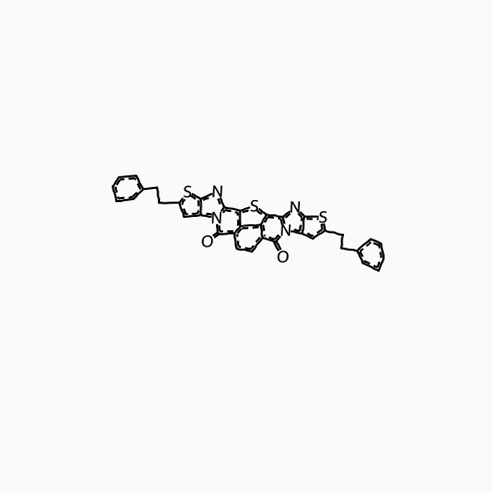 O=c1c2ccc3c(=O)n4c5cc(CCc6ccccc6)sc5nc4c4sc(c2c34)c2nc3sc(CCc4ccccc4)cc3n12